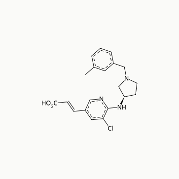 Cc1cccc(CN2CC[C@@H](Nc3ncc(C=CC(=O)O)cc3Cl)C2)c1